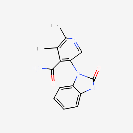 Cc1ncc(-n2c(=O)[nH]c3ccccc32)c(C(N)=O)c1C